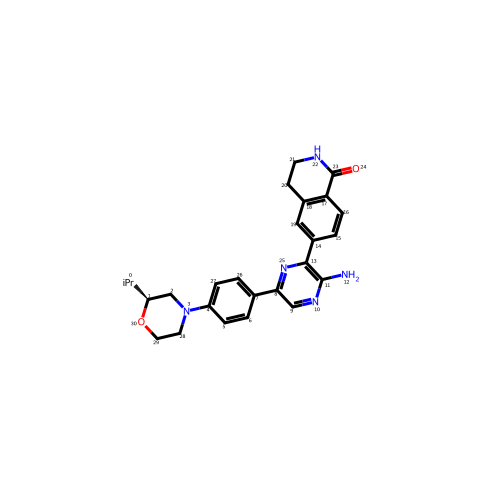 CC(C)[C@H]1CN(c2ccc(-c3cnc(N)c(-c4ccc5c(c4)CCNC5=O)n3)cc2)CCO1